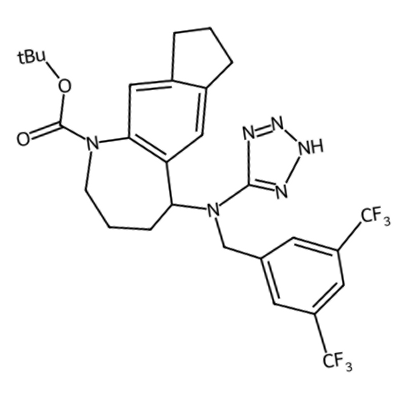 CC(C)(C)OC(=O)N1CCCC(N(Cc2cc(C(F)(F)F)cc(C(F)(F)F)c2)c2nn[nH]n2)c2cc3c(cc21)CCC3